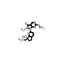 CC[C@@]1(O)CCc2ccc(-n3c4nc(SC)ncc4c(=O)n3C)nc21